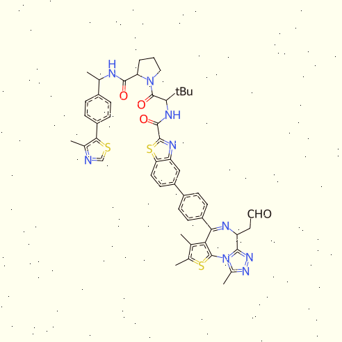 Cc1ncsc1-c1ccc(C(C)NC(=O)C2CCCN2C(=O)C(NC(=O)c2nc3cc(-c4ccc(C5=NC(CC=O)c6nnc(C)n6-c6sc(C)c(C)c65)cc4)ccc3s2)C(C)(C)C)cc1